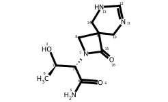 C[C@@H](O)[C@@H](C(N)=O)N1CC2(CN=CNC2)C1=O